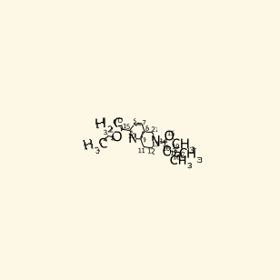 C=C(OCC)c1ccc2c(n1)CCN(C(=O)OC(C)(C)C)C2